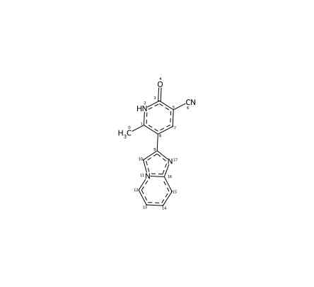 Cc1[nH]c(=O)c(C#N)cc1-c1cn2ccccc2n1